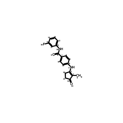 CC1=C(Nc2ccc(C(=O)Nc3cccc(F)c3)cc2)CCC1=O